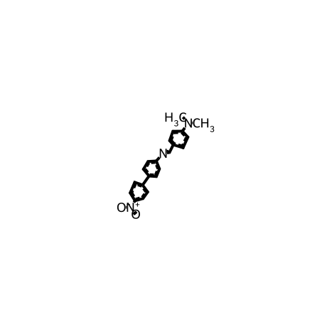 CN(C)c1ccc(C=Nc2ccc(-c3ccc([N+](=O)[O-])cc3)cc2)cc1